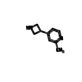 Cc1cc(C2CNC2)ccn1